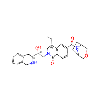 CC[C@H]1CN(C[C@@H](O)[C@@H]2Cc3ccccc3CN2)C(=O)c2ccc(C(=O)N3C4CCC3COC4)cc21